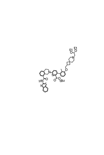 CCOC(CN1CCC2(CC1)CC(COc1cccc(-c3ccc(N4CCc5cccc(C(=O)Nc6nc7ccccc7s6)c5C4)nc3C(=O)OC(C)(C)C)c1C)C2)OCC